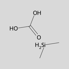 C[SiH2]C.O=C(O)O